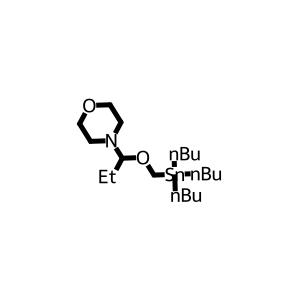 CCC[CH2][Sn]([CH2]CCC)([CH2]CCC)[CH2]OC(CC)N1CCOCC1